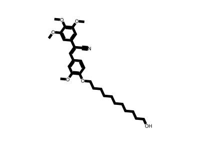 COc1cc(C=C(C#N)c2cc(OC)c(OC)c(OC)c2)ccc1OCCCCCCCCCCCO